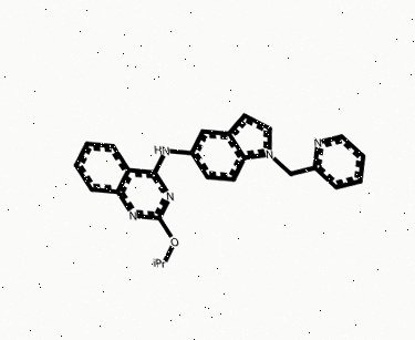 CC(C)Oc1nc(Nc2ccc3c(ccn3Cc3ccccn3)c2)c2ccccc2n1